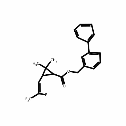 CC1(C)C(C=C(F)C(F)(F)F)C1C(=O)OCc1cccc(-c2ccccc2)c1